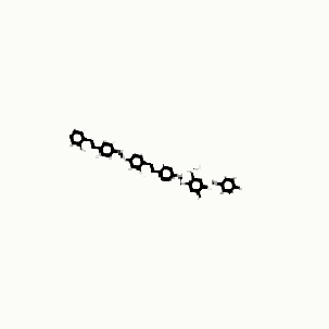 Cc1cc(N=Nc2ccc(C=Cc3ccc(N=Nc4ccc(C=Cc5ccccc5S(=O)(=O)O)cc4)cc3S(=O)(=O)O)cc2)c(CO)cc1N=Nc1ccc(C(=O)O)cc1